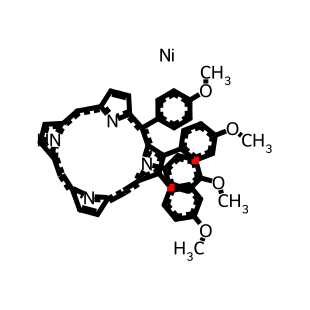 COc1ccc(-c2c(-c3ccc(OC)cc3)c3c(-c4ccc(OC)cc4)c4nc(cc5ccc(cc6nc(cc2n3-c2ccc(OC)cc2)C=C6)[nH]5)C=C4)cc1.[Ni]